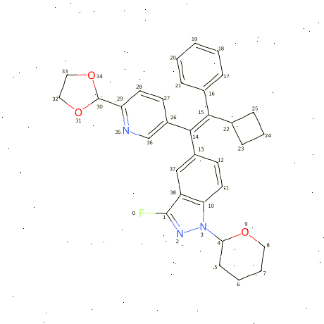 Fc1nn(C2CCCCO2)c2ccc(/C(=C(/c3ccccc3)C3CCC3)c3ccc(C4OCCO4)nc3)cc12